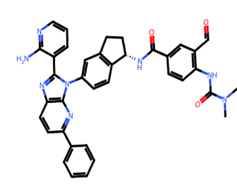 CN(C)C(=O)Nc1ccc(C(=O)N[C@H]2CCc3cc(-n4c(-c5cccnc5N)nc5ccc(-c6ccccc6)nc54)ccc32)cc1C=O